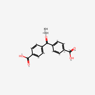 O=C(O)c1ccc(C(=O)c2ccc(C(=O)O)cc2)cc1.[KH].[KH]